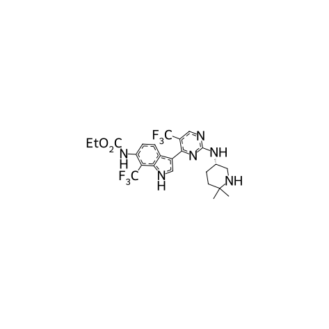 CCOC(=O)Nc1ccc2c(-c3nc(N[C@H]4CCC(C)(C)NC4)ncc3C(F)(F)F)c[nH]c2c1C(F)(F)F